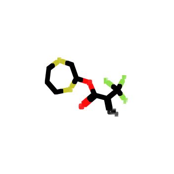 C=C(C(=O)OC1CSCCCS1)C(F)(F)F